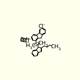 CCCCC1=Cc2ccccc2C1[Si](C)(C)c1cccc2c1Cc1ccccc1-2.[Cl-].[Cl-].[Cl-].[Cl-].[Zr+4]